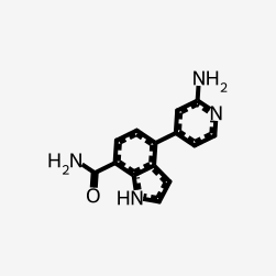 NC(=O)c1ccc(-c2ccnc(N)c2)c2cc[nH]c12